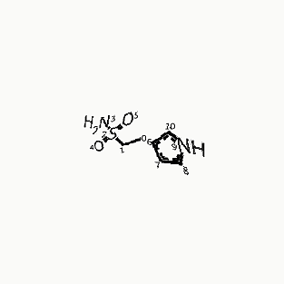 CCS(N)(=O)=O.c1cc[nH]c1